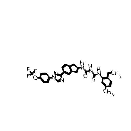 CCc1ccc(C)cc1NC(=S)NC(=O)NC1Cc2ccc(-c3ncn(-c4ccc(OC(F)(F)F)cc4)n3)cc2C1